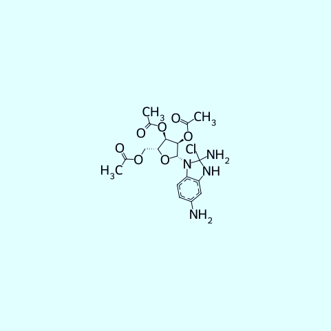 CC(=O)OC[C@H]1O[C@@H](N2c3ccc(N)cc3NC2(N)Cl)[C@H](OC(C)=O)[C@@H]1OC(C)=O